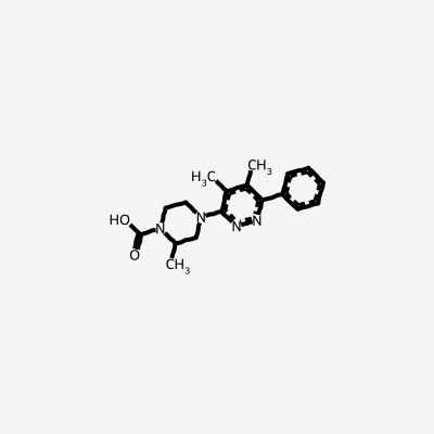 Cc1c(-c2ccccc2)nnc(N2CCN(C(=O)O)C(C)C2)c1C